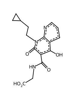 O=C(O)CNC(=O)c1c(O)c2cccnc2n(CCC2CC2)c1=O